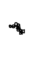 Cc1c(CCOCc2ccccc2)c2c(n(Cc3ccc(Br)c(Cl)c3)c1=O)C=CCC2=O